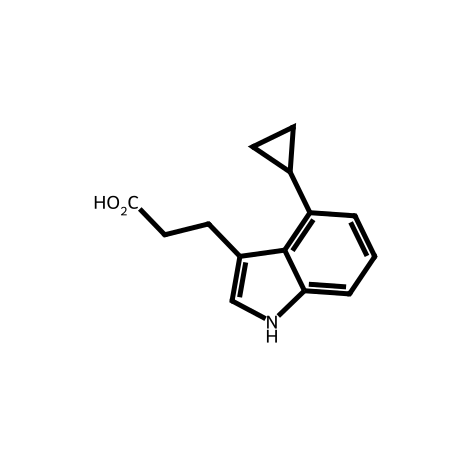 O=C(O)CCc1c[nH]c2cccc(C3CC3)c12